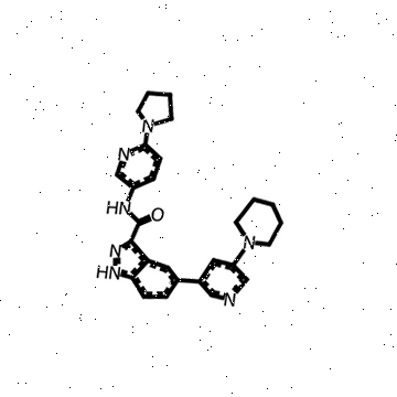 O=C(Nc1ccc(N2CCCC2)nc1)c1n[nH]c2ccc(-c3cncc(N4CCCCC4)c3)cc12